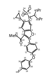 CCCC(CCC)N(c1cc2oc(-c3ccc(Oc4ccc(F)cc4)cc3)c(C(=O)NC)c2cc1C1CC1)S(C)(=O)=O